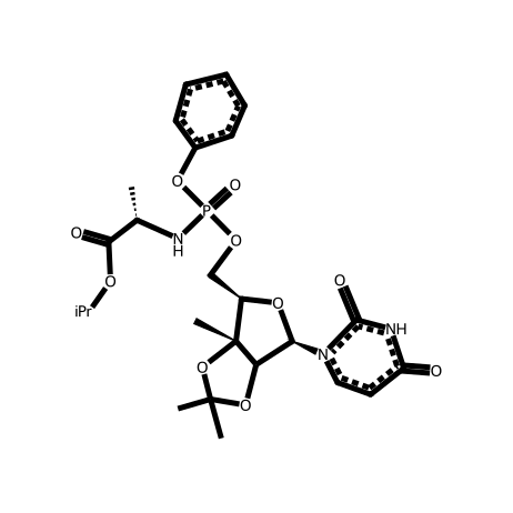 CC(C)OC(=O)[C@H](C)NP(=O)(OC[C@H]1O[C@@H](n2ccc(=O)[nH]c2=O)C2OC(C)(C)O[C@@]21C)Oc1ccccc1